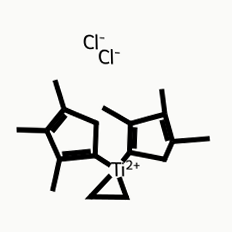 CC1=C(C)C(C)=[C]([Ti+2]2([C]3=C(C)C(C)=C(C)C3)[CH2][CH2]2)C1.[Cl-].[Cl-]